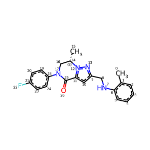 Cc1ccccc1NCc1cc2n(n1)[C@@H](C)CN(c1ccc(F)cc1)C2=O